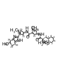 C=C(/C=c1/cccc/c1=C/N)C(=O)Nc1cc(C(=O)Nc2cc(-c3nc4cc(O)ccc4[nH]3)n(C)c2)n(C)c1